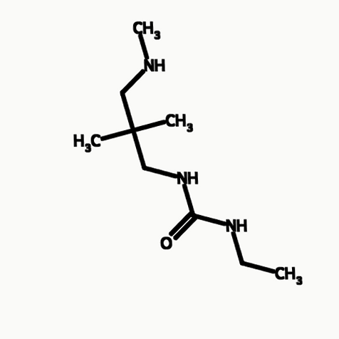 CCNC(=O)NCC(C)(C)CNC